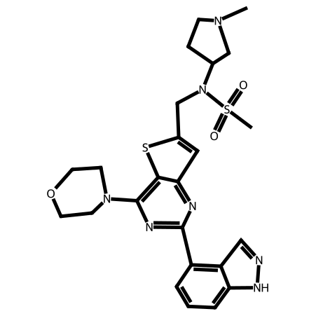 CN1CCC(N(Cc2cc3nc(-c4cccc5[nH]ncc45)nc(N4CCOCC4)c3s2)S(C)(=O)=O)C1